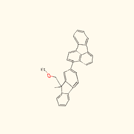 CCOCC1(C)c2ccccc2-c2ccc(-c3ccc4c5c(cccc35)-c3ccccc3-4)cc21